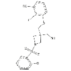 N#Cc1cccc(OCC2(CO)CN(S(=O)(=O)c3ccccc3Cl)C2)c1F